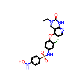 CCN1Cc2c(Oc3ccc(NS(=O)(=O)c4ccc(NO)cc4)cc3F)ccnc2NC1=O